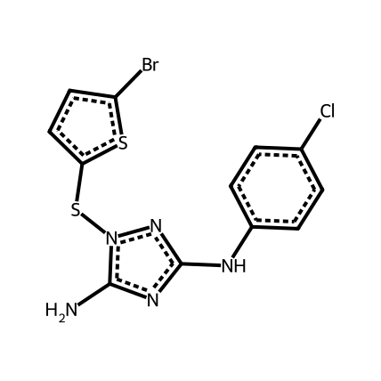 Nc1nc(Nc2ccc(Cl)cc2)nn1Sc1ccc(Br)s1